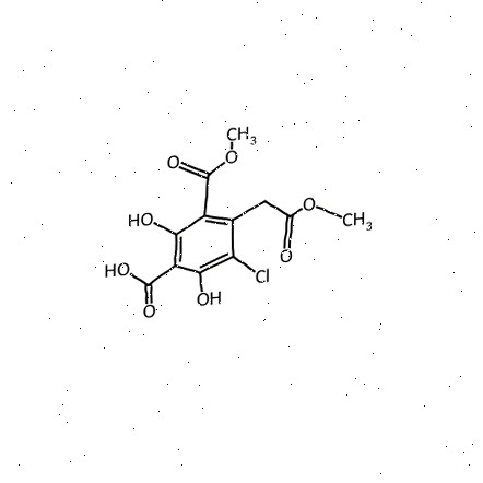 COC(=O)Cc1c(Cl)c(O)c(C(=O)O)c(O)c1C(=O)OC